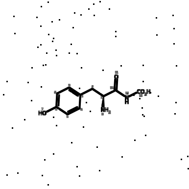 N[C@@H](Cc1ccc(O)cc1)C(=O)NC(=O)O